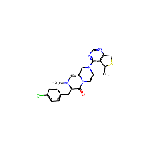 CC1SCc2ncnc(N3CCN(C(=O)[C@@H](Cc4ccc(Cl)cc4)N(C(=O)O)C(C)(C)C)CC3)c21